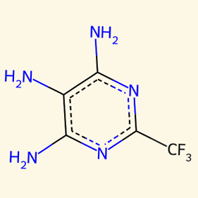 Nc1nc(C(F)(F)F)nc(N)c1N